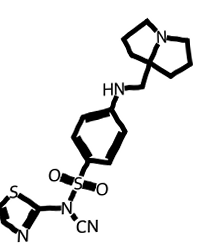 N#CN(c1nccs1)S(=O)(=O)c1ccc(NCC23CCCN2CCC3)cc1